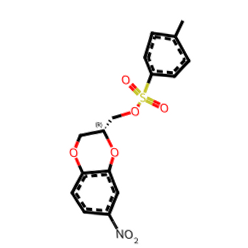 Cc1ccc(S(=O)(=O)OC[C@H]2COc3ccc([N+](=O)[O-])cc3O2)cc1